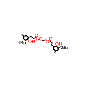 Cc1cc(CCC(=O)OCCOOC(=O)CCc2cc(C)cc(C(C)(C)C)c2O)c(O)c(C(C)(C)C)c1